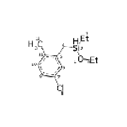 CCO[SiH](CC)Cc1cc(Cl)ccc1C